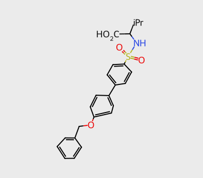 CC(C)C(NS(=O)(=O)c1ccc(-c2ccc(OCc3ccccc3)cc2)cc1)C(=O)O